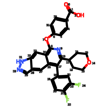 O=C(O)c1ccc(Oc2nc(C3CCOCC3)c(-c3ccc(F)c(F)c3)c3cc4cn[nH]c4cc23)cc1